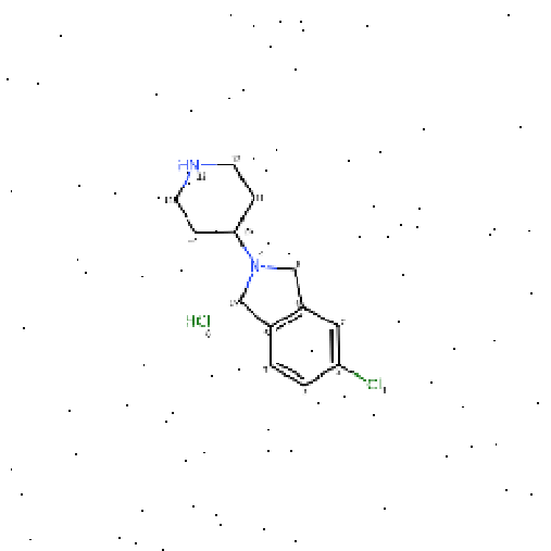 Cl.Clc1ccc2c(c1)CN(C1CCNCC1)C2